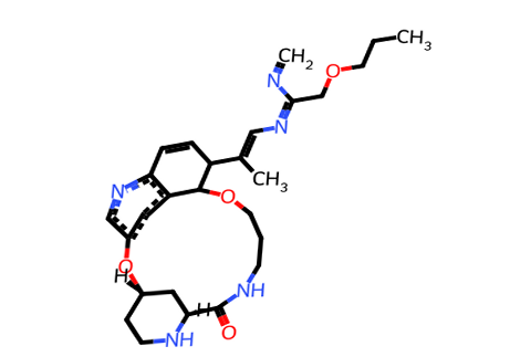 C=N/C(COCCC)=N\C=C(/C)C1C=Cc2ncc3cc2C1OCCCNC(=O)[C@@H]1C[C@H](CCN1)O3